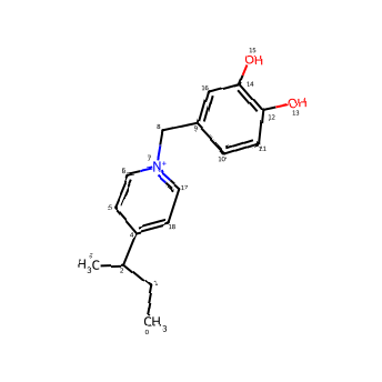 CCC(C)c1cc[n+](Cc2ccc(O)c(O)c2)cc1